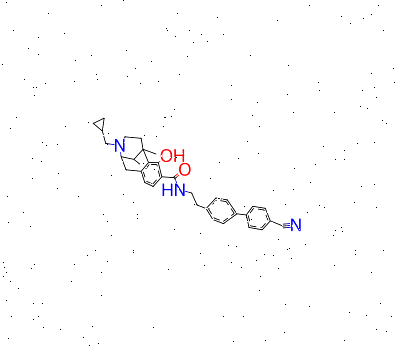 CC1C2Cc3ccc(C(=O)NCCc4ccc(-c5ccc(C#N)cc5)cc4)c(O)c3C1(C)CCN2CC1CC1